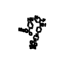 COC(=O)c1ccc(Nc2cc(Nc3ccc(N4CCN(C(=O)OC(C)(C)C)CC4)cc3)c(F)cn2)cc1